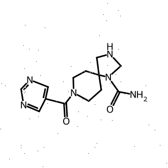 NC(=O)N1CNCC12CCN(C(=O)c1cncnc1)CC2